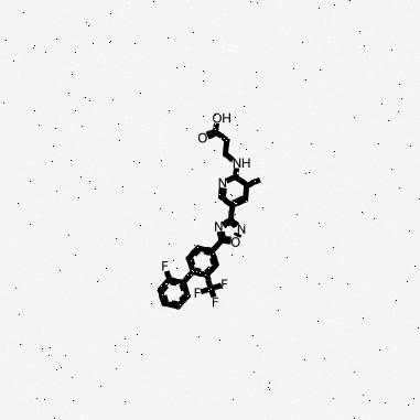 CC1C=C(c2noc(-c3ccc(-c4ccccc4F)c(C(F)(F)F)c3)n2)C=NC1NCCC(=O)O